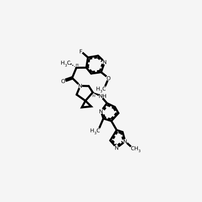 COc1cc([C@@H](C)C(=O)N2C[C@@H](Nc3ccc(-c4cnn(C)c4)c(C)n3)C3(CC3)C2)c(F)cn1